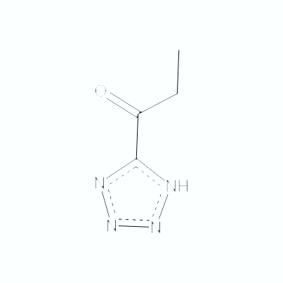 CCC(=O)c1nnn[nH]1